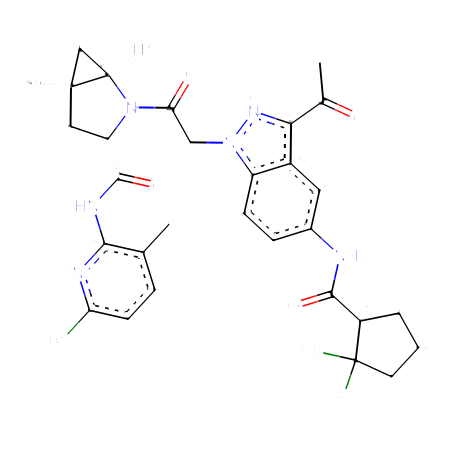 CC(=O)c1nn(CC(=O)N2[C@H](C(=O)Nc3nc(Br)ccc3C)C[C@@]3(C)C[C@@H]23)c2ccc(NC(=O)C3CCCC3(F)F)cc12